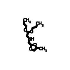 CCCOC(CNCC1OCC(C)O1)OCCC